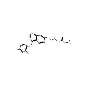 CCN(CC)CC(=O)NCCOc1cc2ncnc(Nc3ccc(Br)cc3F)c2cc1[N+](=O)[O-]